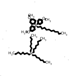 CCCCCCCCCCCC[B-](c1ccc(OC)cc1)(c1ccc(OC)cc1)c1ccc(OC)cc1.CCCCCCCC[N+](CCCCCCCC)(CCCCCCCC)CCCCCCCC